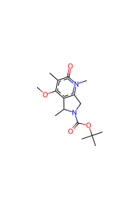 COc1c2c(n(C)c(=O)c1C)CN(C(=O)OC(C)(C)C)C2C